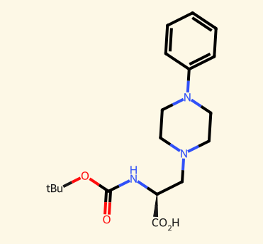 CC(C)(C)OC(=O)N[C@@H](CN1CCN(c2ccccc2)CC1)C(=O)O